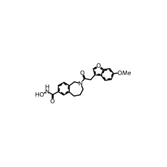 COc1ccc2c(CC(=O)N3CCCc4cc(C(=O)NO)ccc4C3)coc2c1